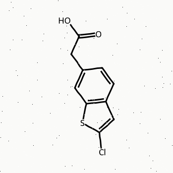 O=C(O)Cc1ccc2cc(Cl)sc2c1